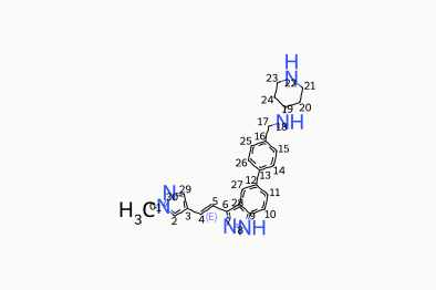 Cn1cc(/C=C/c2n[nH]c3ccc(-c4ccc(CNC5CCNCC5)cc4)cc23)cn1